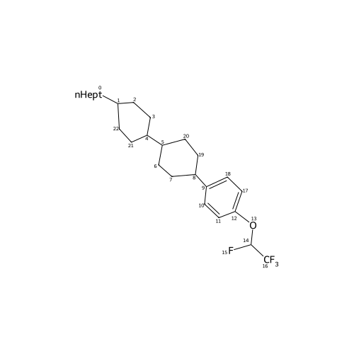 CCCCCCCC1CCC(C2CCC(c3ccc(OC(F)C(F)(F)F)cc3)CC2)CC1